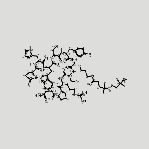 CC(C)C[C@H](NC(=O)[C@@H](CCCCNC(=O)CCC(C)(C)OCCC(C)(C)S)NC(=O)[C@H](Cc1ccc(O)cc1)NC(=O)[C@H](CO)NC(=O)C(Cc1c[nH]c2ccccc12)NC(=O)[C@H](Cc1cnc[nH]1)NC(=O)[C@@H]1CCC(=O)N1)C(=O)N[C@@H](CCCNC(=N)N)C(=O)N1CCC[C@@H]1C(=O)NCC(N)=O